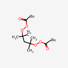 CCC(C)C(=O)OOC(C)(C)CC(C)(C)OOC(=O)C(C)CC